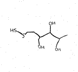 CC(O)C(O)C(O)CSS